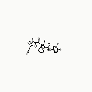 Cc1c(C(=O)C(=O)NC23CCC2C(C#N)C3)c2n(c1C(=O)Nc1ccc(F)c(F)c1)CCC2